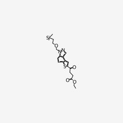 CCOC(=O)CCC(=O)c1cc2c(ccc3c2cnn3COCC[Si](C)(C)C)s1